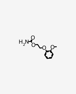 COc1ccccc1OCCOC(N)=O